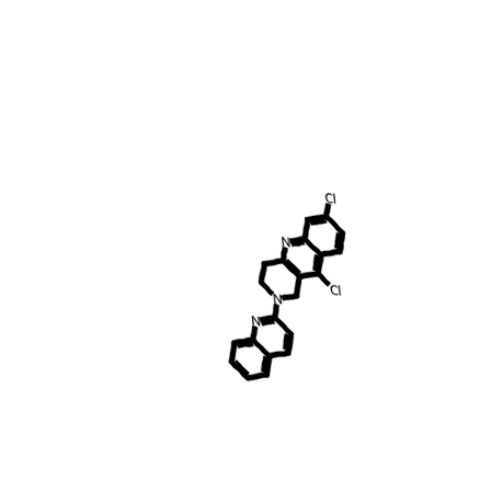 Clc1ccc2c(Cl)c3c(nc2c1)CCN(c1ccc2ccccc2n1)C3